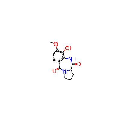 COc1ccc2c(c1O)NC(=O)C1CCCN1C2=O